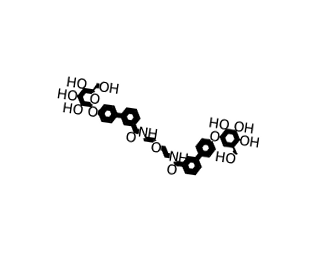 O=C(NCCOCCNC(=O)c1cccc(-c2ccc(O[C@H]3C[C@H](CO)[C@@H](O)[C@H](O)[C@@H]3O)cc2)c1)c1cccc(-c2ccc(O[C@H]3O[C@H](CO)[C@@H](O)[C@H](O)[C@@H]3O)cc2)c1